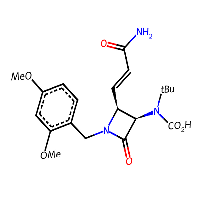 COc1ccc(CN2C(=O)[C@H](N(C(=O)O)C(C)(C)C)[C@@H]2/C=C/C(N)=O)c(OC)c1